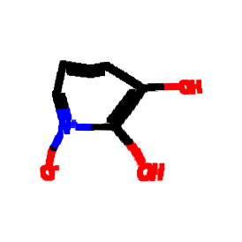 [O-][n+]1cccc(O)c1O